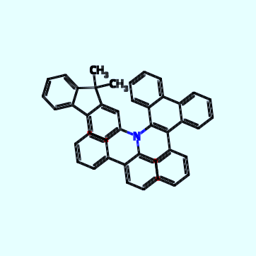 CC1(C)c2ccccc2-c2ccc(N(c3ccccc3-c3ccccc3)c3c(-c4ccccc4)c4ccccc4c4ccccc34)cc21